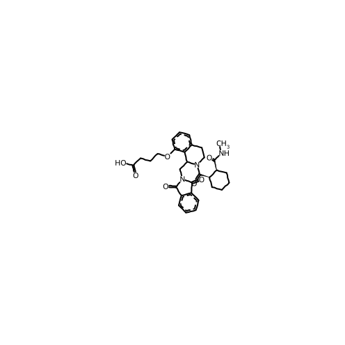 CNC(=O)[C@H]1CCCC[C@H]1C(=O)N1CCc2cccc(OCCCC(=O)O)c2C1CN1C(=O)c2ccccc2C1=O